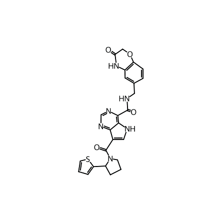 O=C1COc2ccc(CNC(=O)c3ncnc4c(C(=O)N5CCCC5c5cccs5)c[nH]c34)cc2N1